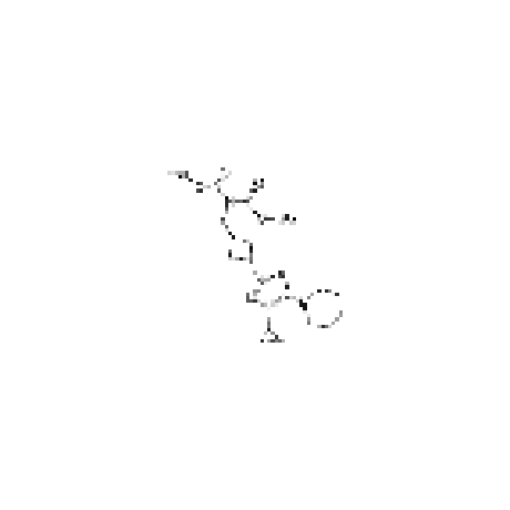 CC(C)(C)OC(=O)N(CC1CC(n2cc(N3CCCCC3)c(C3CC3)n2)C1)C(=O)OC(C)(C)C